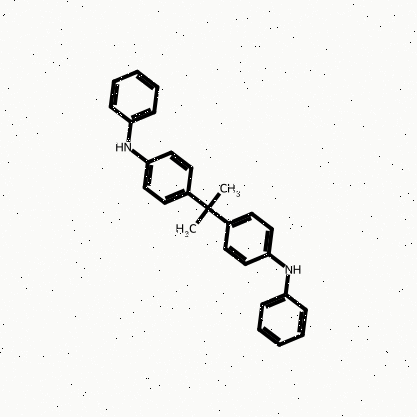 CC(C)(c1ccc(Nc2ccccc2)cc1)c1ccc(Nc2ccccc2)cc1